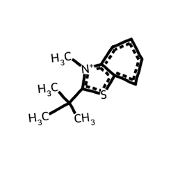 C[n+]1c(C(C)(C)C)sc2ccccc21